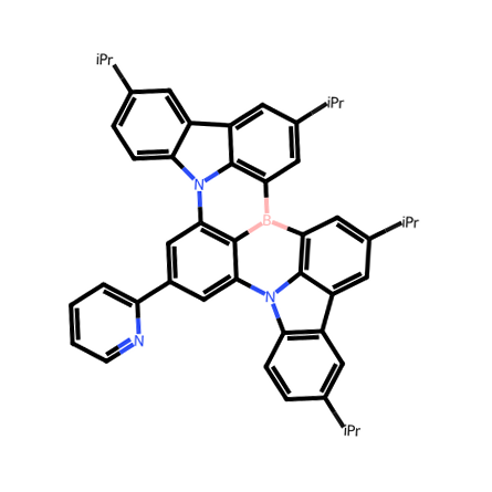 CC(C)c1ccc2c(c1)c1cc(C(C)C)cc3c1n2-c1cc(-c2ccccn2)cc2c1B3c1cc(C(C)C)cc3c4cc(C(C)C)ccc4n-2c13